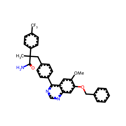 COc1cc2c(-c3ccc(CC(C)(C(N)=O)c4ccc(C(F)(F)F)cc4)cc3)ncnc2cc1OCc1ccccc1